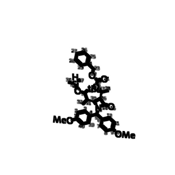 COc1ccc(C(c2ccc(OC)cc2)N2C(=O)[C@H](C(C)OC(=O)OCc3ccccc3)[C@@H]2C(C)C(O[SiH](C)C)C(C)(C)C)cc1